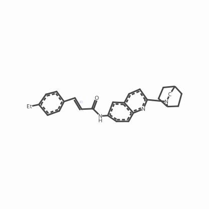 CCc1ccc(/C=C/C(=O)Nc2ccc3nc(N4CC5CCC4CC5)ccc3c2)cc1